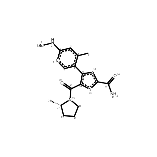 Cc1cc(NC(C)(C)C)ncc1-c1sc(C(N)=O)nc1C(=O)N1CCC[C@@H]1C